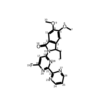 CCC1c2cc(OC)c(OC)cc2C(=O)N1c1cc(F)nc(-c2ncccn2)n1